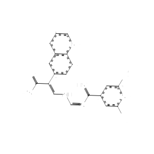 N=C(/N=C\N/C=C(/C(N)=O)c1ccc2ncccc2c1)c1cc(C(F)(F)F)nc(C(F)(F)F)c1